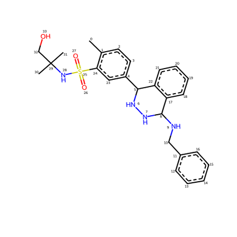 Cc1ccc(C2NNC(NCc3ccccc3)c3ccccc32)cc1S(=O)(=O)NC(C)(C)CO